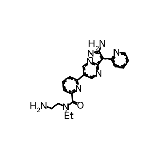 CCN(CCN)C(=O)c1cccc(-c2cnc3c(-c4ccccn4)c(N)nn3c2)n1